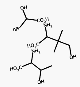 CC(C)(CO)C(N)C(=O)O.CC(O)C(N)C(=O)O.CCCC(O)C(=O)O